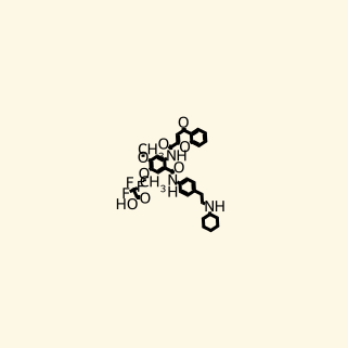 COc1cc(NC(=O)c2cc(=O)c3ccccc3o2)c(C(=O)Nc2ccc(CCNC3CCCCC3)cc2)cc1OC.O=C(O)C(F)(F)F